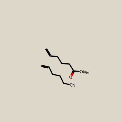 C=CCCCC#N.C=CCCCC(=O)OC